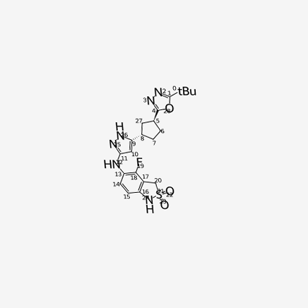 CC(C)(C)c1nnc([C@H]2CC[C@H](c3cc(Nc4ccc5c(c4F)CS(=O)(=O)N5)n[nH]3)C2)o1